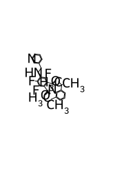 CC(C)c1cccc(C(C)C)c1N1C(=O)c2c(F)c(F)c(NCc3cccnc3)c(F)c2C1=O